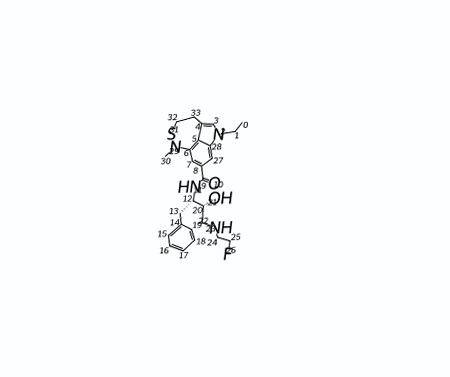 CCn1cc2c3c(cc(C(=O)N[C@@H](Cc4ccccc4)[C@H](O)CNCCF)cc31)N(C)SCC2